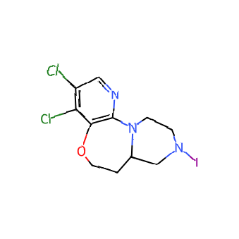 Clc1cnc2c(c1Cl)OCCC1CN(I)CCN21